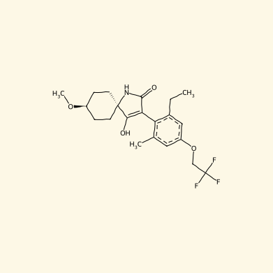 CCc1cc(OCC(F)(F)F)cc(C)c1C1=C(O)[C@]2(CC[C@H](OC)CC2)NC1=O